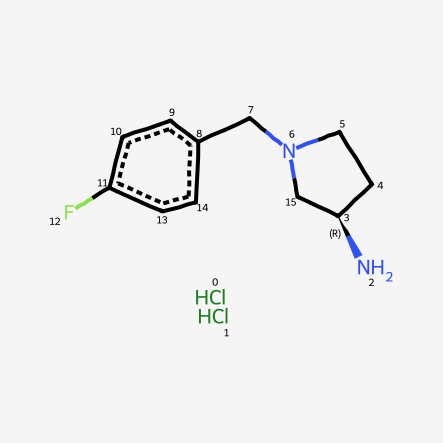 Cl.Cl.N[C@@H]1CCN(Cc2ccc(F)cc2)C1